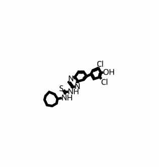 Oc1c(Cl)cc(-c2ccc3ncc(NC(=S)NC4CCCCCCC4)nc3c2)cc1Cl